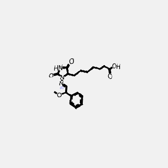 COC(/C=N/N1C(=O)NC(=O)C1CCCCCCC(=O)O)c1ccccc1